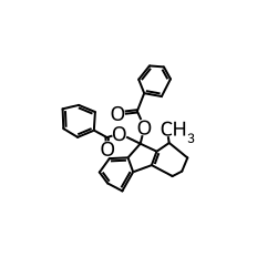 CC1CCCC2=C1C(OC(=O)c1ccccc1)(OC(=O)c1ccccc1)c1ccccc12